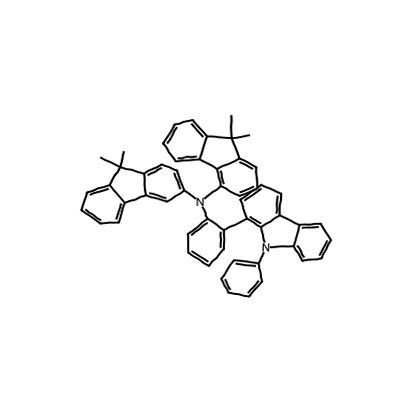 CC1(C)c2ccccc2-c2cc(N(c3ccccc3-c3cccc4c5ccccc5n(-c5ccccc5)c34)c3cccc4c3-c3ccccc3C4(C)C)ccc21